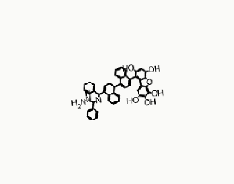 NN/C(=N\C(C1=CCCC=C1)C1=CCC(c2ccc(-c3c(O)cc(O)c4oc5c(O)c(O)c(O)cc5c34)c3ccccc23)c2ccccc21)c1ccccc1